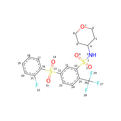 O=S(=O)(NC1CCOCC1)c1cc(S(=O)(=O)c2ccccc2F)ccc1C(F)(F)F